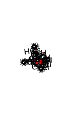 CC(C)C[C@H](NC(=O)[C@@H]1CCCN1C(=O)OCc1ccccc1)C(=O)N[C@@H](Cc1ccccc1)C(=O)O.O=C(O)C(C(=O)C(C(=O)O)c1c(Cl)cccc1Cl)c1c(Cl)cccc1Cl